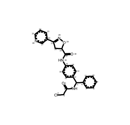 O=C(CCl)NC(c1ccccc1)c1ccc(NC(=O)C2CC(c3cccnc3)=NO2)cc1